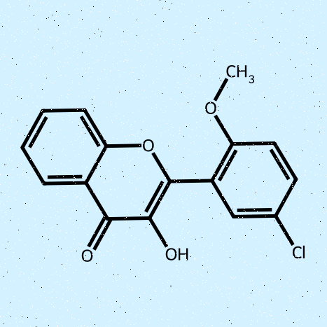 COc1ccc(Cl)cc1-c1oc2ccccc2c(=O)c1O